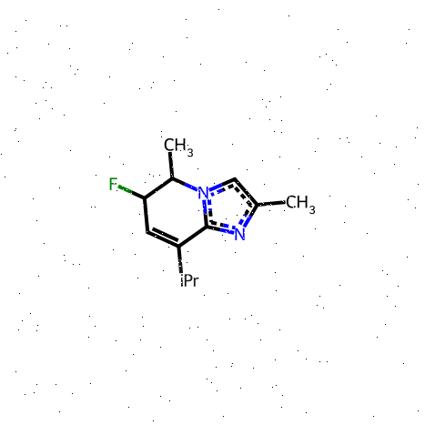 Cc1cn2c(n1)C(C(C)C)=CC(F)C2C